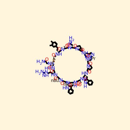 CCCC[C@H]1C(=O)N(C)[C@@H](CCCC)C(=O)N[C@@H](CCCNC(=N)N)C(=O)N[C@H](C(=O)NCC(N)=O)CSCC(=O)N[C@@H](CCc2ccc(C)c(C)c2)C(=O)N(C)[C@@H](C)C(=O)N[C@@H](CC(N)=O)C(=O)N2CCC[C@H]2C(=O)N[C@@H](Cc2cnc[nH]2)C(=O)N[C@@H](CC(C)C)C(=O)N2CCCC2C(=O)N[C@@H](Cc2c[nH]c3ccccc23)C(=O)N[C@@H](CO)C(=O)N[C@@H](Cc2c[nH]c3ccccc23)C(=O)N1C